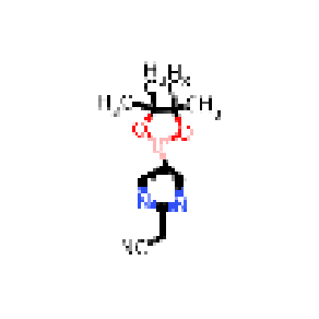 CC1(C)OB(c2cnc(CC#N)nc2)OC1(C)C